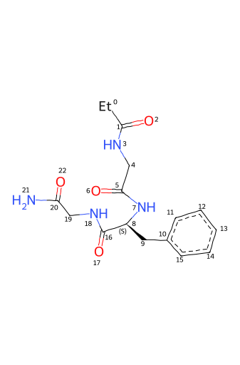 CCC(=O)NCC(=O)N[C@@H](Cc1ccccc1)C(=O)NCC(N)=O